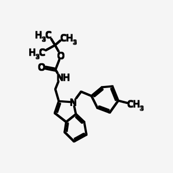 Cc1ccc(Cn2c(CNC(=O)OC(C)(C)C)cc3ccccc32)cc1